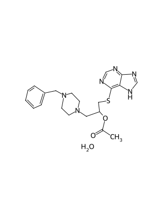 CC(=O)OC(CSc1ncnc2nc[nH]c12)CN1CCN(Cc2ccccc2)CC1.O